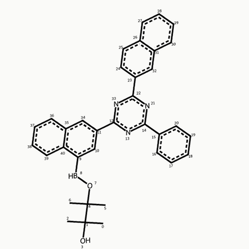 CC(C)(O)C(C)(C)OBc1cc(-c2nc(-c3ccccc3)nc(-c3ccc4ccccc4c3)n2)cc2ccccc12